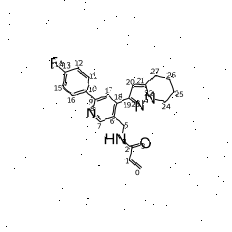 C=CC(=O)NCc1cnc(-c2ccc(F)cc2)cc1-c1cc2n(n1)CCCC2